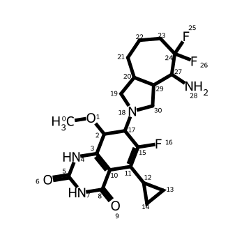 COC1c2[nH]c(=O)[nH]c(=O)c2C(C2CC2)=C(F)C1N1CC2CCCC(F)(F)C(N)C2C1